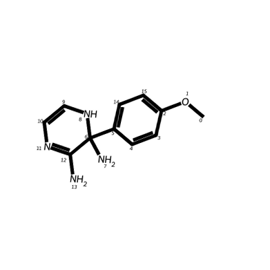 COc1ccc(C2(N)NC=CN=C2N)cc1